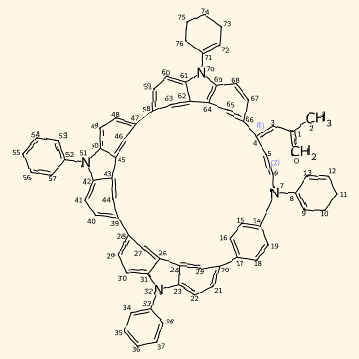 C=C(C)/C=C1\C=C/N(C2=CCCC=C2)c2ccc(cc2)-c2ccc3c(c2)c2cc(ccc2n3-c2ccccc2)-c2ccc3c(c2)c2cc(ccc2n3-c2ccccc2)-c2ccc3c(c2)c2cc1ccc2n3C1=CCCCC1